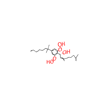 C=C(C)CCC/C(C)=C\[C@@H](O)c1c(OO)cc(C(C)(C)CCCCCC)cc1OO